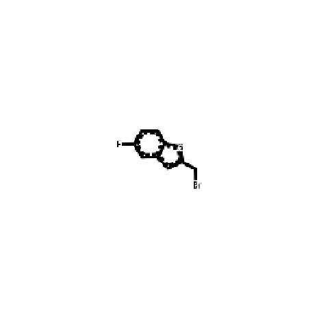 Fc1ccc2sc(CBr)cc2c1